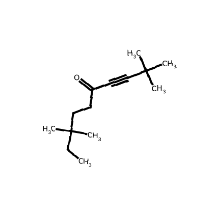 CCC(C)(C)CCC(=O)C#CC(C)(C)C